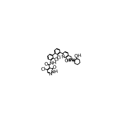 COc1nc(-c2cccc(-c3cccc(NC(=O)c4c(Cl)cn[nH]c4=O)c3Cl)c2Cl)ccc1CN[C@@H]1CCCC[C@@H]1O